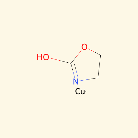 OC1=NCCO1.[Cu]